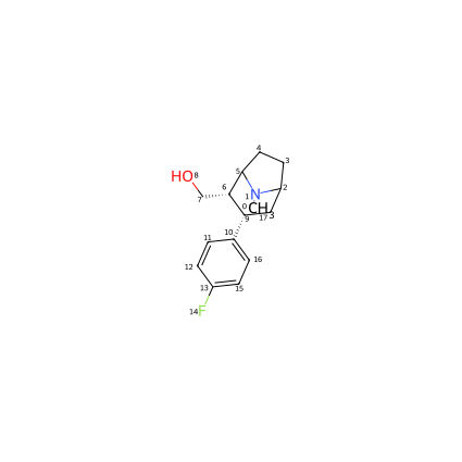 CN1C2CCC1[C@@H](CO)[C@@H](c1ccc(F)cc1)C2